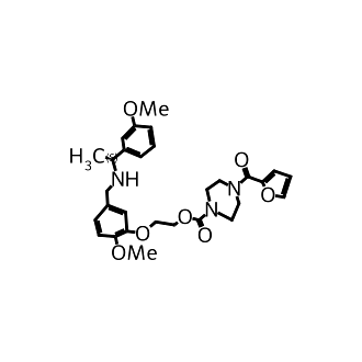 COc1cccc([C@H](C)NCc2ccc(OC)c(OCCOC(=O)N3CCN(C(=O)c4ccco4)CC3)c2)c1